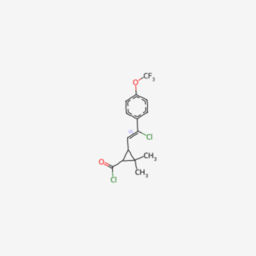 CC1(C)C(/C=C(\Cl)c2ccc(OC(F)(F)F)cc2)C1C(=O)Cl